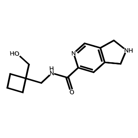 O=C(NCC1(CO)CCC1)c1cc2c(cn1)CNC2